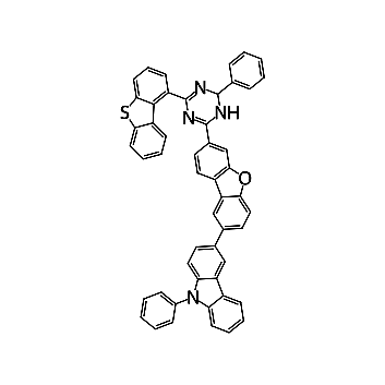 c1ccc(C2N=C(c3cccc4sc5ccccc5c34)N=C(c3ccc4c(c3)oc3ccc(-c5ccc6c(c5)c5ccccc5n6-c5ccccc5)cc34)N2)cc1